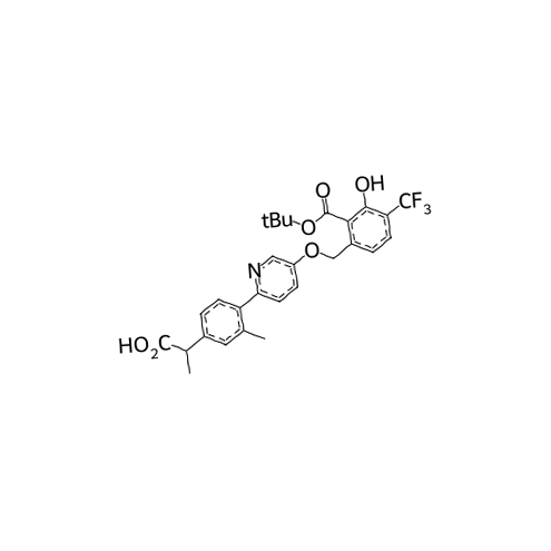 Cc1cc(C(C)C(=O)O)ccc1-c1ccc(OCc2ccc(C(F)(F)F)c(O)c2C(=O)OC(C)(C)C)cn1